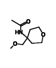 COCC1(NC(C)=O)CCOCC1